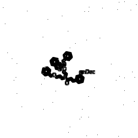 CCCCCCCCCCOc1cccc(CCC(=O)N(CCCOCc2ccccc2)CCOP(=O)(OCc2ccccc2)OCc2ccccc2)c1